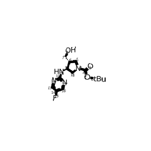 CC(C)(C)OC(=O)N1C[C@@H](CO)[C@H](Nc2ncc(F)cn2)C1